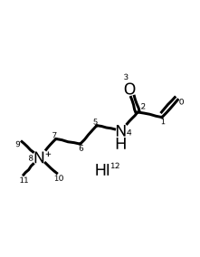 C=CC(=O)NCCC[N+](C)(C)C.I